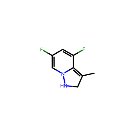 CC1=C2C(F)=CC(F)=CN2NC1